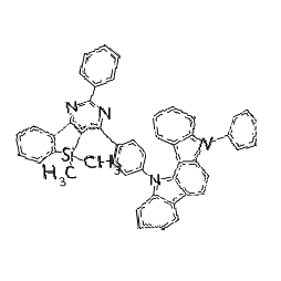 C[Si]1(C)c2ccccc2-c2nc(-c3ccccc3)nc(-c3ccc(-n4c5ccccc5c5ccc6c(c7ccccc7n6-c6ccccc6)c54)cc3)c21